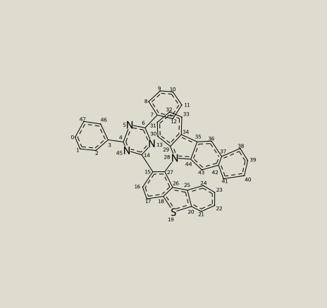 c1ccc(-c2nc(-c3ccccc3)nc(-c3ccc4sc5ccccc5c4c3-n3c4ccccc4c4cc5ccccc5cc43)n2)cc1